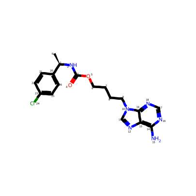 C[C@@H](NC(=O)OCCCCn1cnc2c(N)ncnc21)c1ccc(Cl)cc1